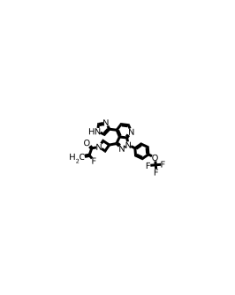 C=C(F)C(=O)N1CC(c2nn(-c3ccc(OC(F)(F)F)cc3)c3nccc(-c4c[nH]cn4)c23)C1